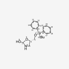 CC(C)(C)[Si](OC[C@@H]1CNC(O)O1)(c1ccccc1)c1ccccc1